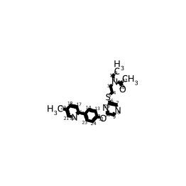 CCN(CCSc1cncc(Oc2ccc(-c3ccc(C)cn3)cc2)n1)C(C)=O